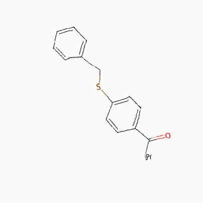 CC(C)C(=O)c1ccc(SCc2ccccc2)cc1